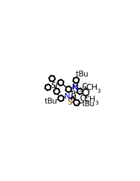 CC(C)(C)c1ccc(N2c3cc4c(cc3B3c5c2cc(-c2cccc([Si](c6ccccc6)(c6ccccc6)c6ccccc6)c2)cc5N(c2ccc(C(C)(C)C)cc2)c2sc5ccc(C(C)(C)C)cc5c23)C(C)(C)CCC4(C)C)cc1